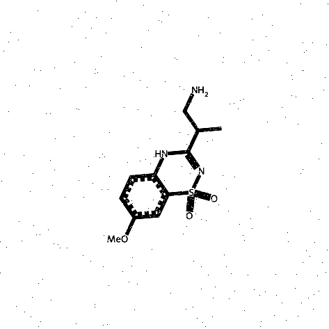 COc1ccc2c(c1)S(=O)(=O)N=C(C(C)CN)N2